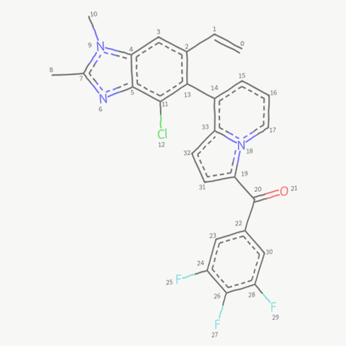 C=Cc1cc2c(nc(C)n2C)c(Cl)c1-c1cccn2c(C(=O)c3cc(F)c(F)c(F)c3)ccc12